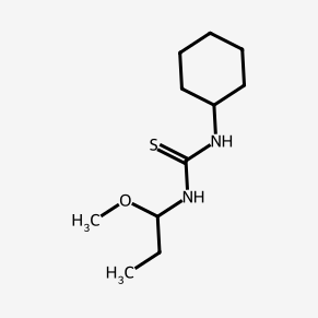 CCC(NC(=S)NC1CCCCC1)OC